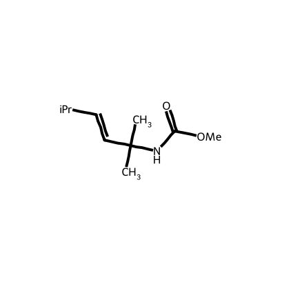 COC(=O)NC(C)(C)/C=C/C(C)C